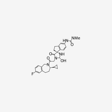 CNC(=O)Nc1ccc2c(c1)CC[C@]21NC(O)N(CC(=O)N2Cc3ccc(F)cc3CC[C@@H]2C2CC2)C1=O